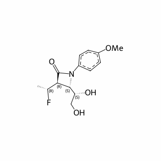 COc1ccc(N2C(=O)[C@H]([C@@H](C)F)[C@H]2[C@H](O)CO)cc1